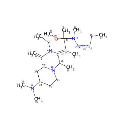 C=CN(CC)/C(=C(/C)C(C)(OC)N(C)/N=C\CC)C(C)N1CCC(N(C)C)CC1